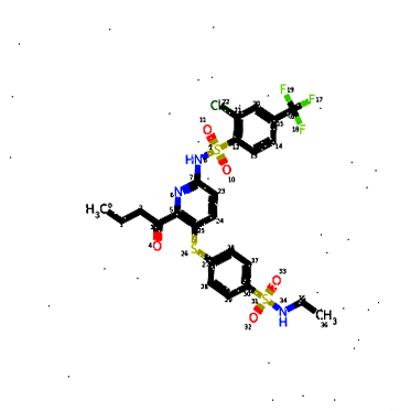 CCCC(=O)c1nc(NS(=O)(=O)c2ccc(C(F)(F)F)cc2Cl)ccc1Sc1ccc(S(=O)(=O)NCC)cc1